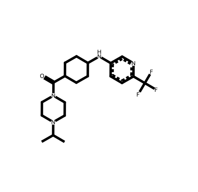 CC(C)N1CCN(C(=O)C2CCC(Nc3ccc(C(F)(F)F)nc3)CC2)CC1